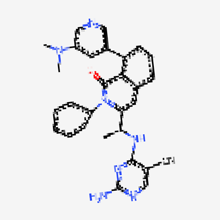 C[C@H](Nc1nc(N)ncc1C#N)c1cc2cccc(-c3cncc(N(C)C)c3)c2c(=O)n1-c1ccccc1